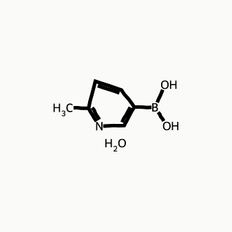 Cc1ccc(B(O)O)cn1.O